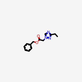 CCc1ncn(CC(=O)OCc2ccccc2)n1